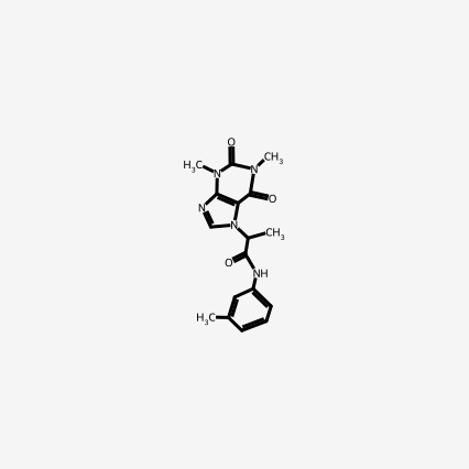 Cc1cccc(NC(=O)C(C)n2cnc3c2c(=O)n(C)c(=O)n3C)c1